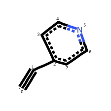 [C]#Cc1ccncc1